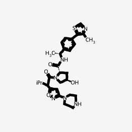 Cc1ncsc1-c1ccc([C@@H](C)NC(=O)[C@@H]2C[C@@H](O)CN2C(=O)C(c2cc(N3CCNCC3)no2)C(C)C)cc1